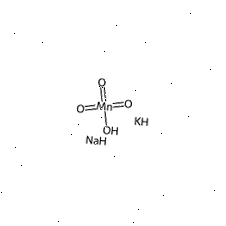 [KH].[NaH].[O]=[Mn](=[O])(=[O])[OH]